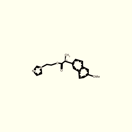 COc1ccc2cc([C@H](C)C(=O)OCCn3ccnc3)ccc2c1